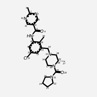 Cc1ncc(C(=O)Nc2cc(Cl)cc(CN3CCN(C(=O)N4CCCC4)[C@@H](C)C3)c2C)cn1